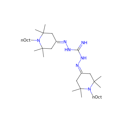 CCCCCCCCN1C(C)(C)CC(=NNC(=N)NN=C2CC(C)(C)N(CCCCCCCC)C(C)(C)C2)CC1(C)C